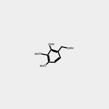 [CH2]OCc1ccc(OC)c(OC)c1OC